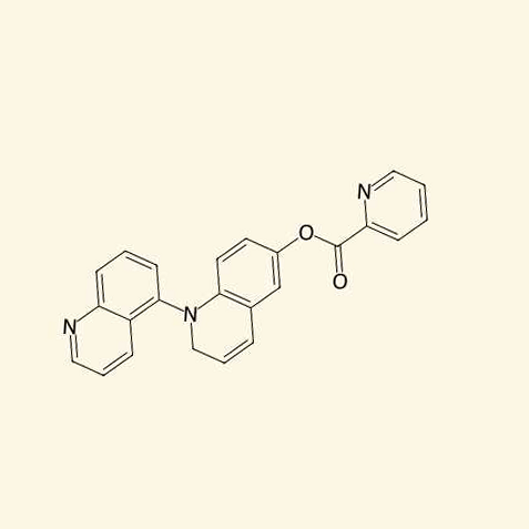 O=C(Oc1ccc2c(c1)C=CCN2c1cccc2ncccc12)c1ccccn1